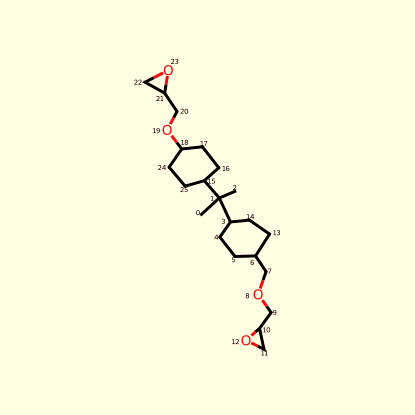 CC(C)(C1CCC(COCC2CO2)CC1)C1CCC(OCC2CO2)CC1